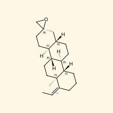 C/C=C1/CCC[C@H]2[C@@H]3CC[C@H]4C[C@]5(CC[C@@H]4[C@H]3CC[C@]12C)CO5